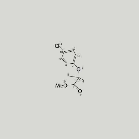 COC(=O)C(C)(C)Oc1ccc(Cl)cc1